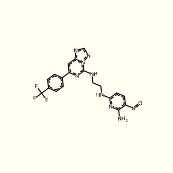 Nc1nc(NCCNc2nc(-c3ccc(C(F)(F)F)cc3)cc3ncnn23)ccc1N=O